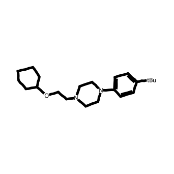 CC(C)(C)c1ccc(N2CCN(CCOC3CCCCC3)CC2)cc1